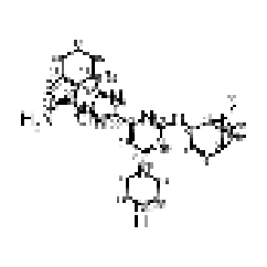 CC1C2C=CC(Oc3nc(-c4noc([C@@]5(C)CCCc6sc(N)c(C#N)c65)n4)cc(N4CCNCC4)n3)C1N(C)C2